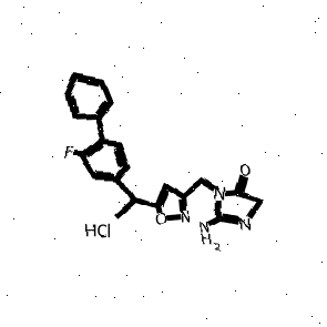 CC(c1ccc(-c2ccccc2)c(F)c1)c1cc(CN2C(=O)CN=C2N)no1.Cl